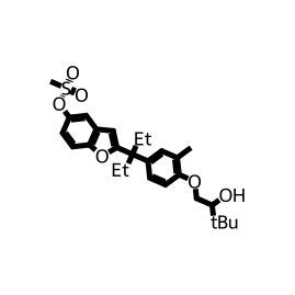 CCC(CC)(c1ccc(OCC(O)C(C)(C)C)c(C)c1)c1cc2cc(OS(C)(=O)=O)ccc2o1